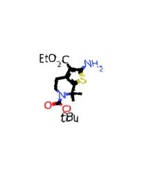 CCOC(=O)c1c(N)sc2c1CCN(C(=O)OC(C)(C)C)C2(C)C